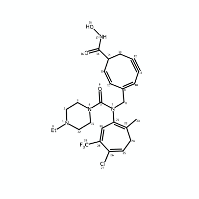 CCN1CCN(C(=O)N(CC2=C/C#CCC(C(=O)NO)/C=C\2)C2=C(C)CC=C(Cl)C(C(F)(F)F)=C2)CC1